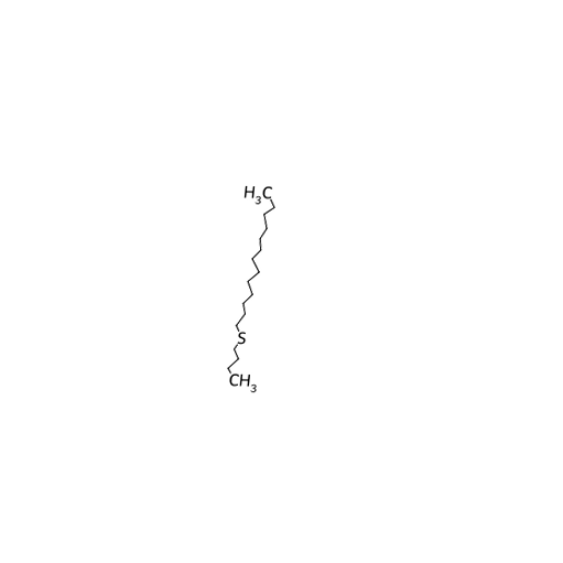 CCCCCCCCCCCCCSCCCC